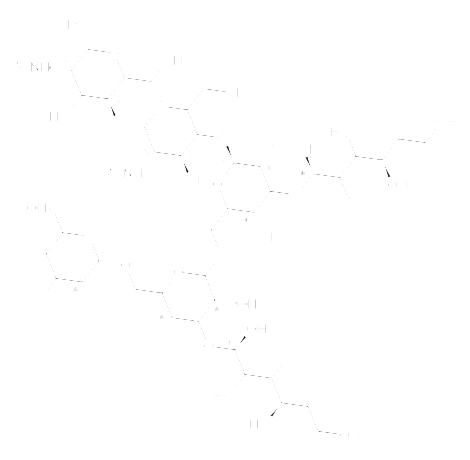 CC(=O)N[C@@H]1[C@H](O[C@@H]2C(CO)O[C@@H](C(C)C)[C@@H](NC(C)=O)C2O)OC(CO)C(O[C@@H]2OC(COC3OC(CO[C@H]4OC(C=O)CC(O)[C@H]4O)[C@@H](O)C(O[C@@H](O)C(O)C(O)[C@H](O)CCO)[C@H]3O)[C@@H](O)C(O[C@@H](O)C(O)C(O)[C@H](O)CCO)[C@H]2O)[C@H]1O